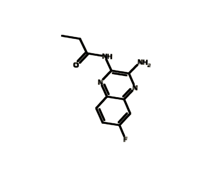 CCC(=O)Nc1nc2ccc(F)cc2nc1N